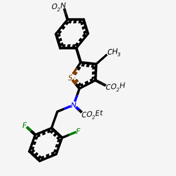 CCOC(=O)N(Cc1c(F)cccc1F)c1sc(-c2ccc([N+](=O)[O-])cc2)c(C)c1C(=O)O